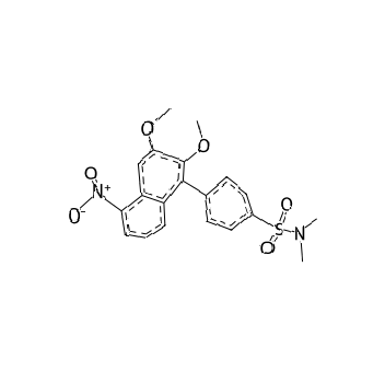 COc1cc2c([N+](=O)[O-])cccc2c(-c2ccc(S(=O)(=O)N(C)C)cc2)c1OC